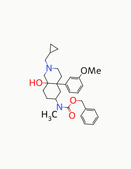 COc1cccc(C23CCN(CC4CC4)CC2(O)CCC(N(C)C(=O)OCc2ccccc2)C3)c1